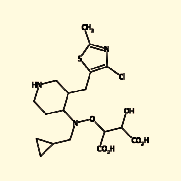 Cc1nc(Cl)c(CC2CNCCC2N(CC2CC2)OC(C(=O)O)C(O)C(=O)O)s1